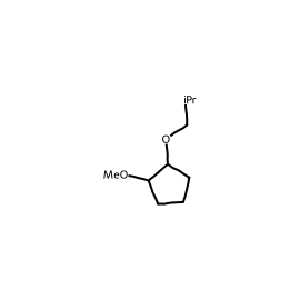 COC1CCCC1OCC(C)C